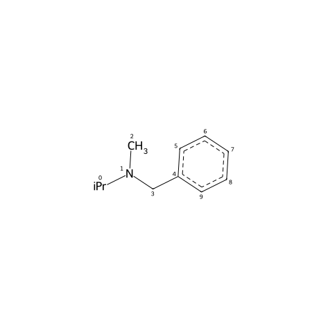 CC(C)N(C)Cc1ccccc1